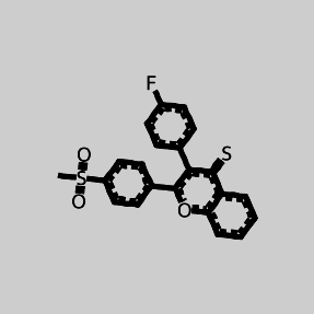 CS(=O)(=O)c1ccc(-c2oc3ccccc3c(=S)c2-c2ccc(F)cc2)cc1